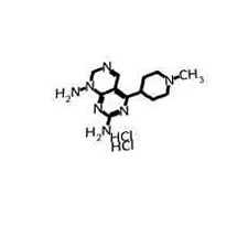 CN1CCC(c2nc(N)nc3c2C=NCN3N)CC1.Cl.Cl